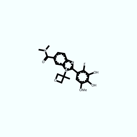 COc1cc(-c2nc3ccc(C(=O)N(C)C)cc3n2C2(C)COC2)c(F)c(O)c1O